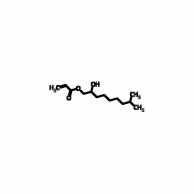 C=CC(=O)OCC(O)CCCCCC(C)C